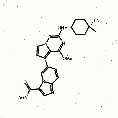 CNC(=O)c1cnc2ccc(-c3ccn4nc(N[C@H]5CC[C@@](C)(C#N)CC5)nc(OC)c34)cn12